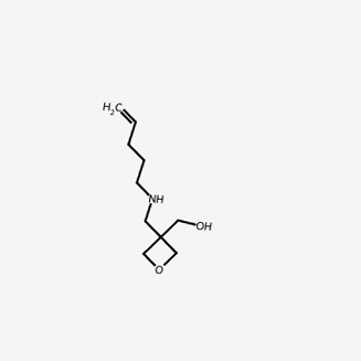 C=CCCCNCC1(CO)COC1